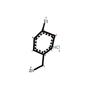 CCc1ccc([CH2][Zn])cc1.Cl